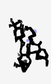 C=C(/N=C\C=C/N)c1ccc(C)nc1C(=O)N1CC2C[C@@H]2C[C@H]1COc1ccc(C(F)(F)F)nn1